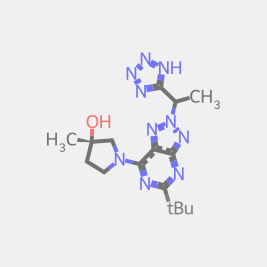 CC(c1nnn[nH]1)n1nc2nc(C(C)(C)C)nc(N3CC[C@](C)(O)C3)c2n1